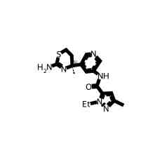 CCn1nc(C)cc1C(=O)Nc1cncc([C@]2(C)CCSC(N)=N2)c1